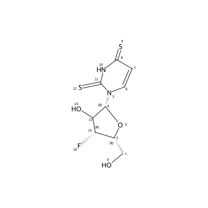 OC[C@H]1O[C@@H](n2ccc(=S)[nH]c2=S)C(O)[C@H]1F